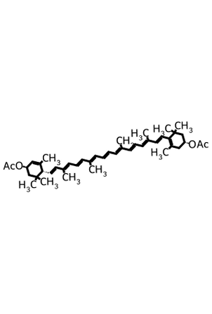 CC(=O)O[C@@H]1CC(C)=C(/C=C/C(C)=C/C=C/C(C)=C/C=C/C=C(C)/C=C/C=C(C)/C=C/[C@H]2C(C)=C[C@H](OC(C)=O)CC2(C)C)C(C)(C)C1